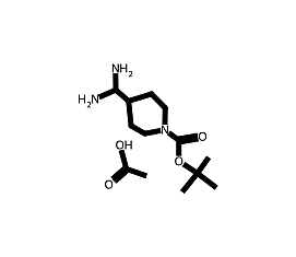 CC(=O)O.CC(C)(C)OC(=O)N1CCC(C(N)N)CC1